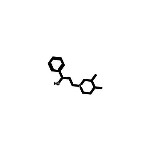 CC1CCN(CCC(O)c2ccccc2)CC1C